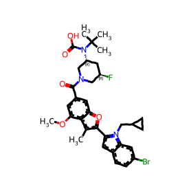 COc1cc(C(=O)N2C[C@H](F)C[C@@H](N(C(=O)O)C(C)(C)C)C2)cc2oc(-c3cc4ccc(Br)cc4n3CC3CC3)c(C)c12